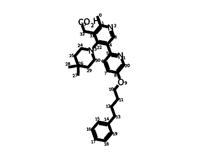 Cc1ncc(-c2ccc(OCCCCc3ccccc3)cn2)c(N2CCC(C)(C)CC2)c1CC(=O)O